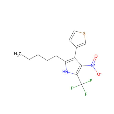 CCCCCc1[nH]c(C(F)(F)F)c([N+](=O)[O-])c1-c1ccsc1